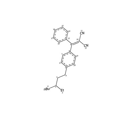 CCCCC(CC)CCc1ccc(C(=C(C#N)C#N)c2ccccc2)cc1